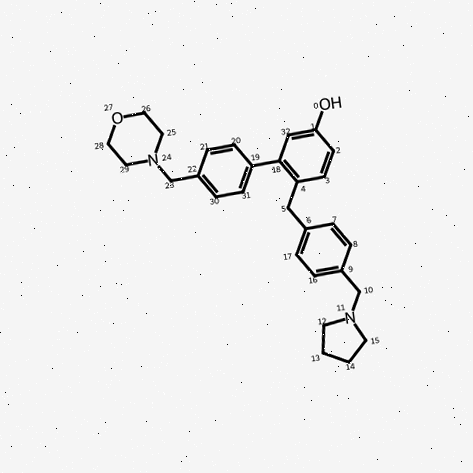 Oc1ccc(Cc2ccc(CN3CCCC3)cc2)c(-c2ccc(CN3CCOCC3)cc2)c1